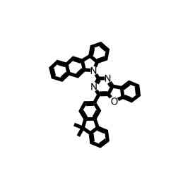 CC1(C)c2ccccc2-c2cc(-c3nc(-n4c5ccccc5c5cc6ccccc6cc54)nc4c3oc3ccccc34)ccc21